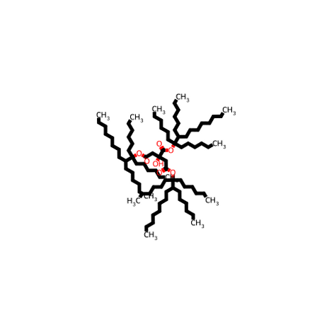 CCCCCCCCC(CCCCCC)C(CCCCCC)(CCCCCC)OC(=O)CC(O)(CC(=O)OC(CCCCCC)(CCCCCC)C(CCCCCC)CCCCCCCC)C(=O)OC(CCCCCC)(CCCCCC)C(CCCCCC)CCCCCCCC